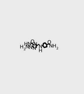 NC(=O)c1ccc(NCC2=NC3C(=O)NC(N)=NC3N=C2)cc1